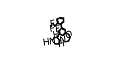 FC(F)(F)c1ccccc1-c1cc2c3c(c1)[C@@H]1CNCC[C@@H]1N3CCCO2